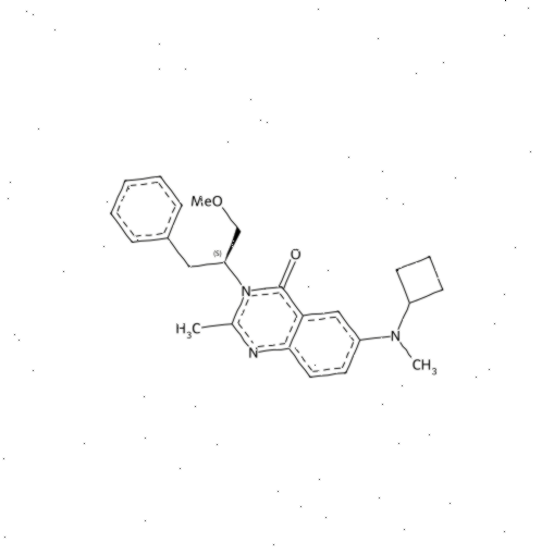 COC[C@H](Cc1ccccc1)n1c(C)nc2ccc(N(C)C3CCC3)cc2c1=O